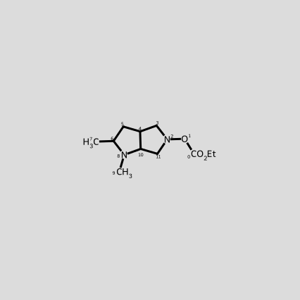 CCOC(=O)ON1CC2CC(C)N(C)C2C1